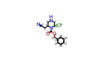 Cl.N#CCC1CNCCN1C(=O)OCc1ccccc1